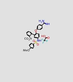 COc1ccc(S(=O)(=O)Nc2ccc(Oc3ccc(C(=N)N)cc3)c(-c3ccccc3C(=O)O)c2)cc1.O=C(O)C(F)(F)F